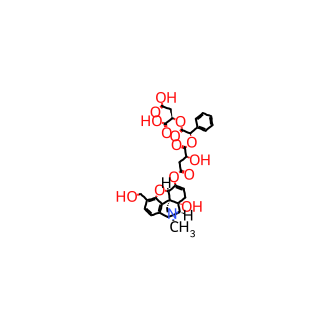 CN1CC[C@]23c4c5ccc(CO)c4O[C@H]2C(OC(=O)C[C@H](O)C(=O)O[C@H](C(=O)O[C@H](CC(=O)O)C(=O)O)c2ccccc2)=CC[C@@]3(O)[C@H]1C5